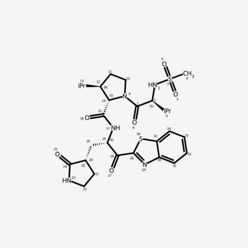 CC(C)[C@H](NS(C)(=O)=O)C(=O)N1CC[C@H](C(C)C)[C@H]1C(=O)N[C@@H](C[C@@H]1CCNC1=O)C(=O)c1nc2ccccc2s1